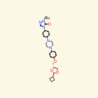 CCC(C)n1ncn(-c2ccc(N3CCN(c4ccc(OC[C@@H]5COC(C6CCC6)O5)cc4)CC3)cc2)c1=O